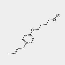 [CH2]C=CCc1ccc(OCCCCOCC)cc1